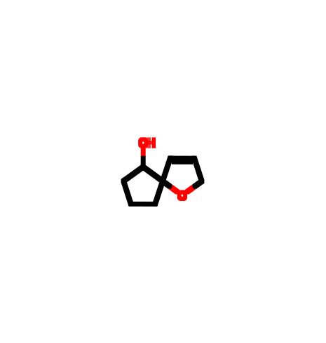 OC1CCCC12C=CCO2